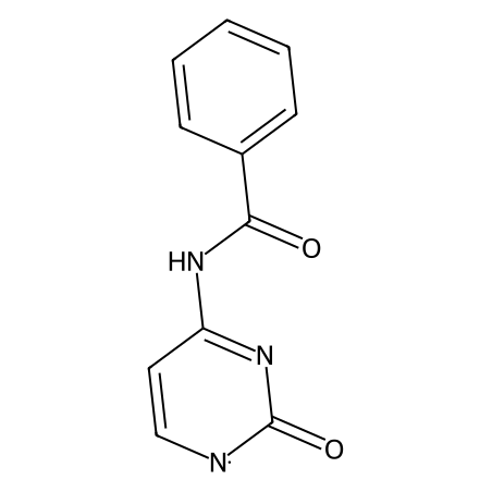 O=C1[N]C=CC(NC(=O)c2ccccc2)=N1